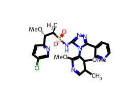 COC1=C(n2c(NS(=O)(=O)[C@H](C)[C@@H](OC)c3ccc(Cl)cn3)nnc2-c2cccnc2)C(OC)C(C)C=N1